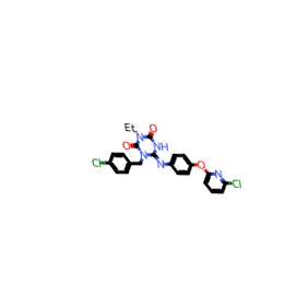 CCn1c(=O)[nH]/c(=N\c2ccc(Oc3cccc(Cl)n3)cc2)n(Cc2ccc(Cl)cc2)c1=O